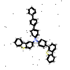 c1ccc(-c2ccc(-c3ccc(N(c4ccc(-c5cccc6c5sc5ccccc56)cc4)c4ccc5sc6ccccc6c5c4)cc3)cc2)cc1